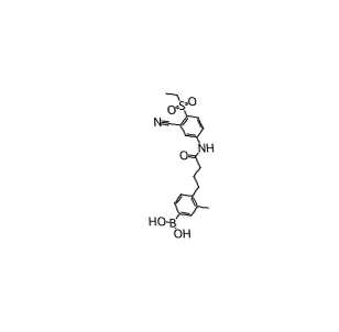 CCS(=O)(=O)c1ccc(NC(=O)CCCc2ccc(B(O)O)cc2C)cc1C#N